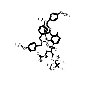 COc1ccc(CN(Cc2ccc(OC)cc2)S(=O)(=O)c2c(S(=O)(=O)C(CNC(=O)O)CO[Si](C)(C)C(C)(C)C)ccc(I)c2-c2nnn(Cc3ccc(OC)cc3)n2)cc1